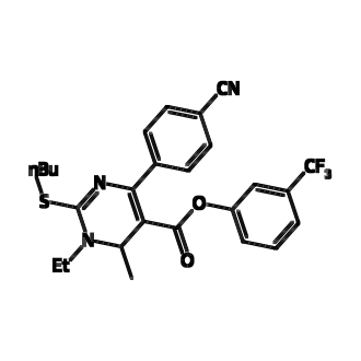 CCCCSC1=NC(c2ccc(C#N)cc2)=C(C(=O)Oc2cccc(C(F)(F)F)c2)C(C)N1CC